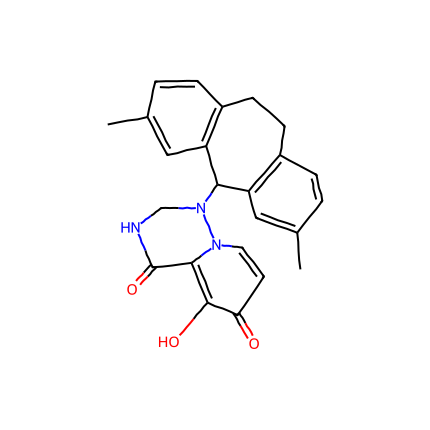 Cc1ccc2c(c1)C(N1CNC(=O)c3c(O)c(=O)ccn31)c1cc(C)ccc1CC2